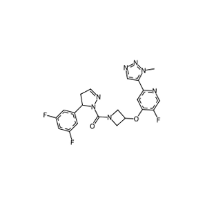 Cn1nncc1-c1cc(OC2CN(C(=O)N3N=CCC3c3cc(F)cc(F)c3)C2)c(F)cn1